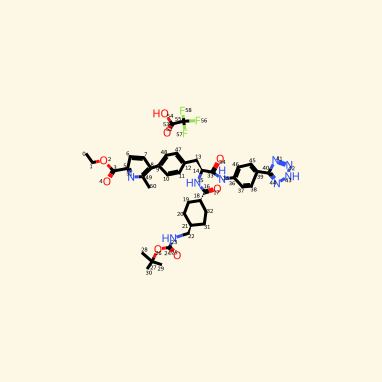 CCOC(=O)c1ccc(-c2ccc(C[C@H](NC(=O)[C@H]3CC[C@H](CNC(=O)OC(C)(C)C)CC3)C(=O)Nc3ccc(-c4nn[nH]n4)cc3)cc2)c(C)n1.O=C(O)C(F)(F)F